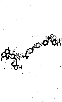 CCc1c(F)ccc2cc(C)cc(-c3ncc4c(N5CCC[C@@](C)(O)C5)nc(OCC5(CN6CCC(F)(CN7CCN(c8ccc9c(c8)n(C)c(=O)n9C8CCC(=O)NC8=O)CC7)CC6)CC5)nc4c3F)c12